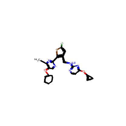 Cc1nc(-c2sc(Cl)cc2CNc2nccc(OC3CC3)n2)ncc1OC1CCCCC1